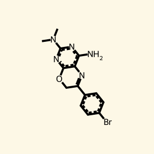 CN(C)c1nc(N)c2c(n1)OCC(c1ccc(Br)cc1)=N2